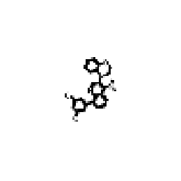 CN(C)c1c(N2CCOc3ccccc32)cnc2c(-c3cc(Cl)cc(Cl)c3)cccc12